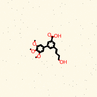 COc1cc(-c2cc(C=CCCO)cc(C(=O)O)c2)cc(OC)c1OC